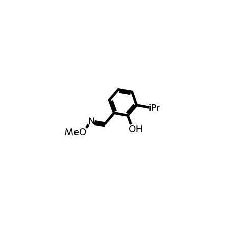 CON=Cc1cccc(C(C)C)c1O